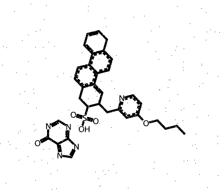 CCCCOc1ccnc(CC2C=c3c(ccc4c5c(ccc34)CC=CC=5)CC2S(=O)(=O)O)c1.O=C1N=CN=C2N=CN=C12